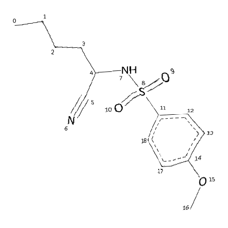 CCCCC(C#N)NS(=O)(=O)c1ccc(OC)cc1